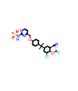 CC(C)(c1ccc(OCc2ccnc(NS(C)(=O)=O)n2)cc1)c1cc(Cl)c(OC(F)F)c(C#N)c1